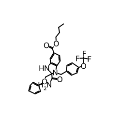 CCCCOC(=O)c1ccc2c(c1)NC(COc1ccccc1)(C(N)=O)N2Cc1ccc(OC(F)(F)F)cc1